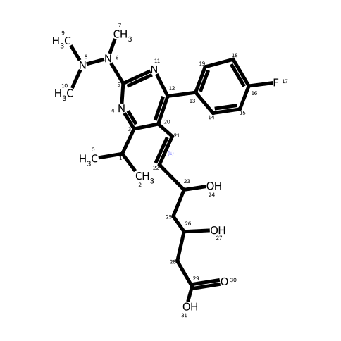 CC(C)c1nc(N(C)N(C)C)nc(-c2ccc(F)cc2)c1/C=C/C(O)CC(O)CC(=O)O